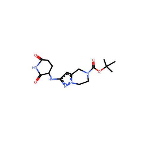 CC(C)(C)OC(=O)N1CCn2nc(NC3CCC(=O)NC3=O)cc2C1